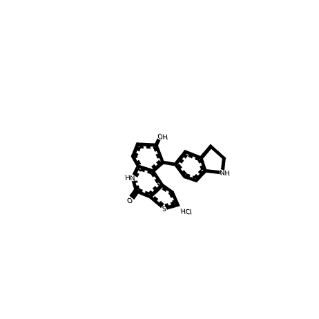 Cl.O=c1[nH]c2ccc(O)c(-c3ccc4c(c3)CCN4)c2c2ccsc12